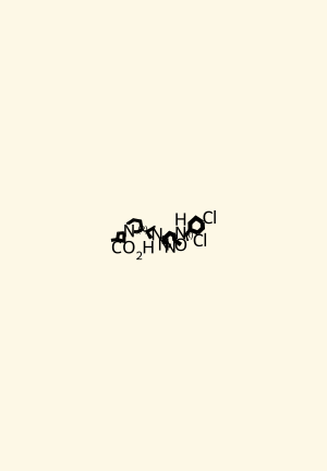 C[C@@H](Nc1cc(N2CC([C@H]3CCCN(C4CC(C)(C(=O)O)C4)C3)C2)nn(C)c1=O)c1ccc(Cl)cc1Cl